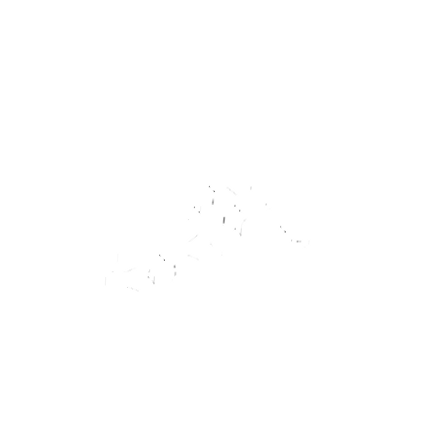 CCOc1cc(C(=O)Nc2cc(C(F)(F)F)ccn2)ccc1-c1nc([C@H]2CN(C(C)=O)[C@@H](C)CO2)n2c(Cl)cnc(N)c12